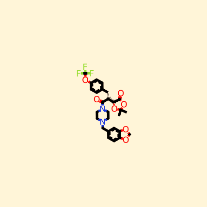 CC1(C)OC(=O)[C@H]([C@@H](Cc2ccc(OC(F)(F)F)cc2)C(=O)N2CCN(Cc3ccc4c(c3)OCO4)CC2)O1